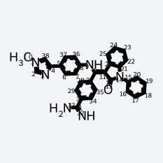 Cn1cnc(-c2ccc(NC(=C3C(=O)N(c4ccccc4)c4ccccc43)c3ccc(C(=N)N)cc3)cc2)c1